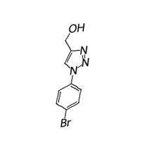 OCc1cn(-c2ccc(Br)cc2)nn1